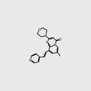 Cc1cc(/C=C/c2ccncc2)c2nc(N3CCOCC3)cc(=O)n2c1